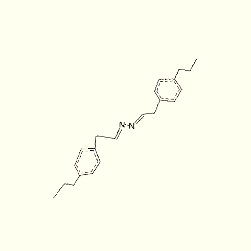 CCCc1ccc(C/C=N/N=C/Cc2ccc(CCC)cc2)cc1